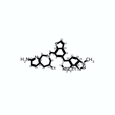 CCOC(=O)C[C@H](c1cc(CN2Cc3nc(N)ccc3C[C@H](CC)C2)c2sccc2c1)c1ccc2c(nnn2C)c1C